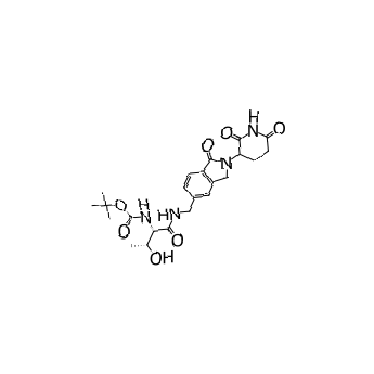 C[C@@H](O)[C@H](NC(=O)OC(C)(C)C)C(=O)NCc1ccc2c(c1)CN(C1CCC(=O)NC1=O)C2=O